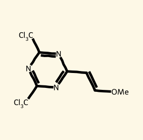 COC=Cc1nc(C(Cl)(Cl)Cl)nc(C(Cl)(Cl)Cl)n1